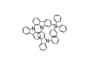 c1ccc(-n2c3ccccc3c3ccc(-n4c5cc([Si](c6ccccc6)(c6ccccc6)c6ccccc6)ccc5c5cccc(-n6c7ccccc7c7ccccc76)c54)cc32)cc1